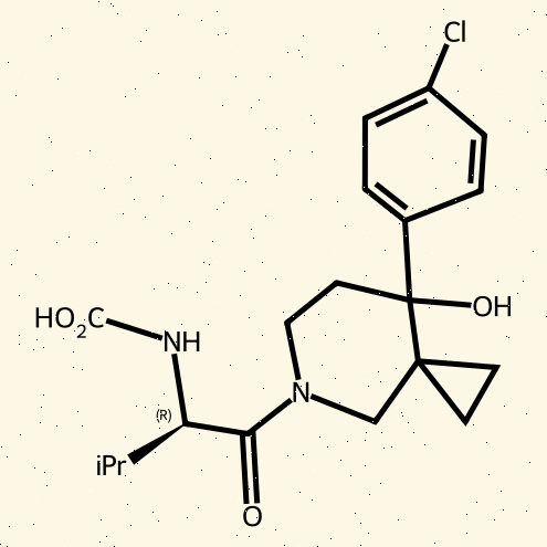 CC(C)[C@@H](NC(=O)O)C(=O)N1CCC(O)(c2ccc(Cl)cc2)C2(CC2)C1